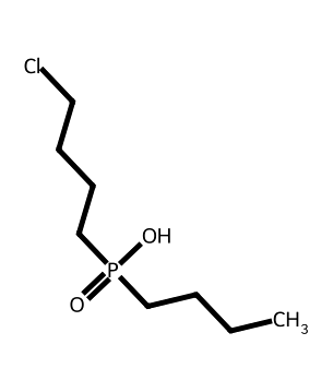 CCCCP(=O)(O)CCCCCl